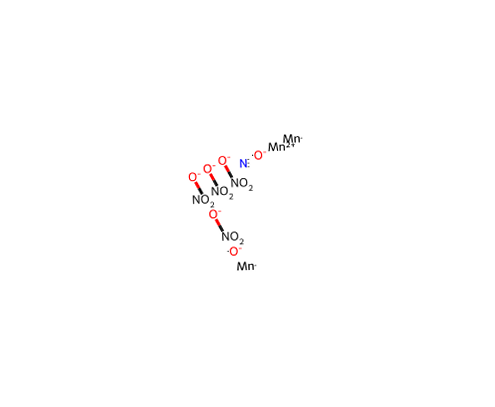 O=[N+]([O-])[O-].O=[N+]([O-])[O-].O=[N+]([O-])[O-].O=[N+]([O-])[O-].[Mn+2].[Mn].[Mn].[N].[O-].[O-]